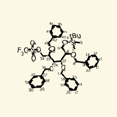 CC(C)(C)[Si](C)(C)OC[C@@H](OCc1ccccc1)[C@@H](OCc1ccccc1)[C@H](OCc1ccccc1)[C@@H](COS(=O)(=O)C(F)(F)F)OCc1ccccc1